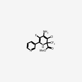 COC(=O)C1(C(F)(F)F)NC(c2cccnc2)=C(F)C(N)=C1Cl